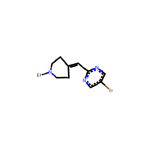 CCN1CCC(=Cc2ncc(Br)cn2)CC1